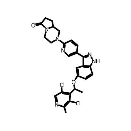 Cc1ncc(Cl)c(C(C)Oc2ccc3[nH]nc(-c4ccc(N5CCN6C(=O)CCC6C5)nc4)c3c2)c1Cl